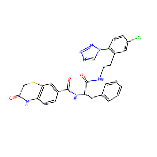 O=C1CSc2cc(C(=O)NC(Cc3ccccc3)C(=O)NCCc3cc(Cl)ccc3-n3cnnn3)ccc2N1